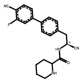 N#Cc1ccc(-c2ccc(C[C@@H](C#N)NC(=O)C3CCCCN3)cc2)cc1F